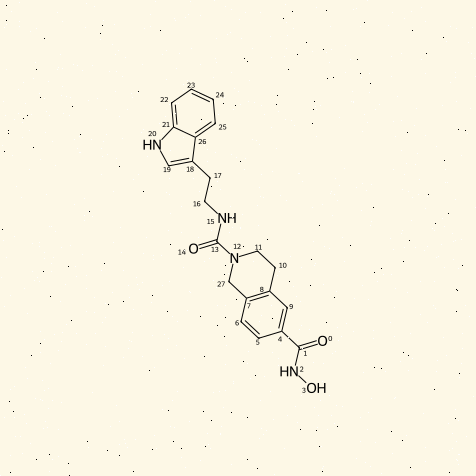 O=C(NO)c1ccc2c(c1)CCN(C(=O)NCCc1c[nH]c3ccccc13)C2